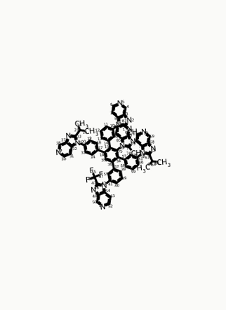 Cc1nc2cnccc2n1-c1cccc(-c2c(-c3ccc(-n4c(C(C)C)nc5cnccc54)cc3)[c]c(-c3cccc(-n4c(C(F)(F)F)nc5cnccc54)c3)c(-c3cccc(-n4c(C(C)C)nc5cnccc54)c3)c2-n2c(C)nc3ncccc32)c1